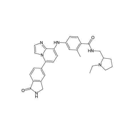 CCN1CCCC1CNC(=O)c1ccc(Nc2ccc(-c3ccc4c(c3)CNC4=O)n3ccnc23)cc1C